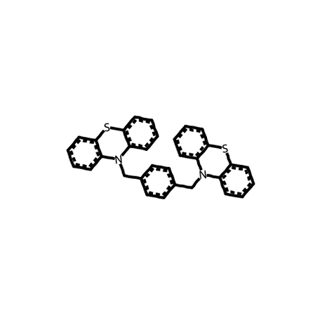 c1ccc2c(c1)Sc1ccccc1N2Cc1ccc(CN2c3ccccc3Sc3ccccc32)cc1